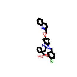 O=C(O)C1(Cc2nc3cc(OCc4ccc5ccccc5n4)ccc3n2Cc2ccc(Br)cc2)CCCC1